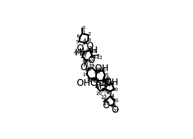 CC1CCC2(CC1)O[C@H]1[C@H](C[C@H](O[C@H]3CC[C@]4(C=O)[C@H]5CC[C@]6(C)[C@@H](C7=CC(=O)OC7)CC[C@]6(O)[C@@H]5CC[C@]4(O)C3)O[C@@H]1C)O2